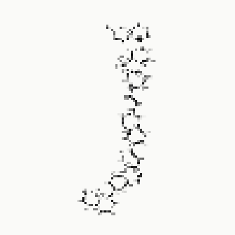 C=C/C=C\C1=C(C)CCCN1c1ccc2c(c1)C(C)(C)c1cc(/C=C/c3ccc4cc(-c5ccc6c(ccc7cc(N8CCCc9ccccc98)ccc76)c5)ccc4c3)ccc1-2